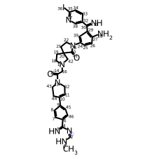 CN/C=N\C(=N)c1ccc(C2=CCN(C(=O)CN3CCC4(CCN(c5ccc(N)c(C(=N)c6ccc(I)nc6)c5)C4=O)C3)CC2)cc1